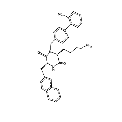 N#Cc1ccccc1-c1ccc(CN2C(=O)[C@H](Cc3ccc4ccccc4c3)NC(=O)[C@@H]2CCCCN)cc1